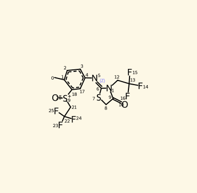 Cc1ccc(/N=C2\SCC(=O)N2CC(F)(F)F)cc1[S+]([O-])CC(F)(F)F